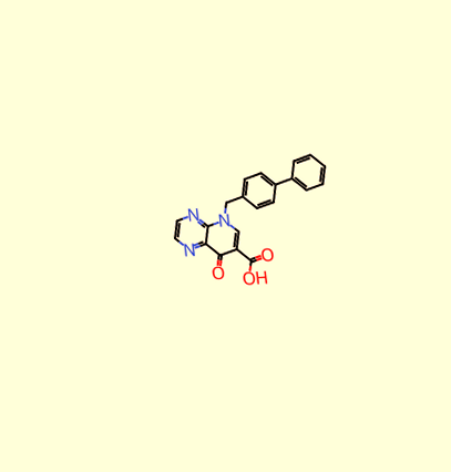 O=C(O)c1cn(Cc2ccc(-c3ccccc3)cc2)c2nccnc2c1=O